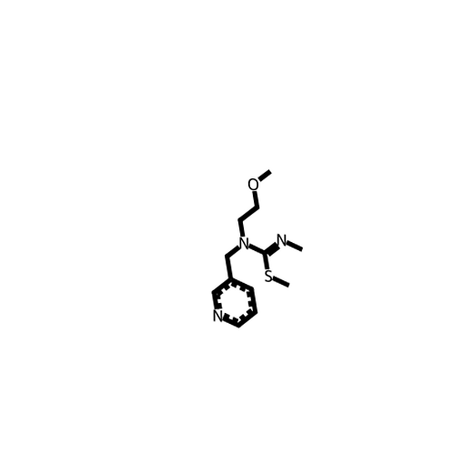 CN=C(SC)N(CCOC)Cc1cccnc1